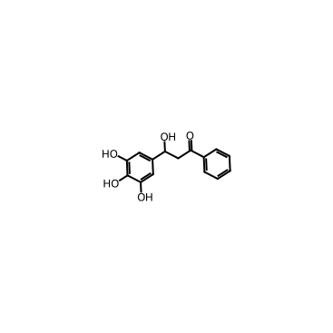 O=C(CC(O)c1cc(O)c(O)c(O)c1)c1ccccc1